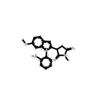 COc1ccc2cc(C3CC(=O)N(C)C3=O)n(-c3ccccc3N)c2c1